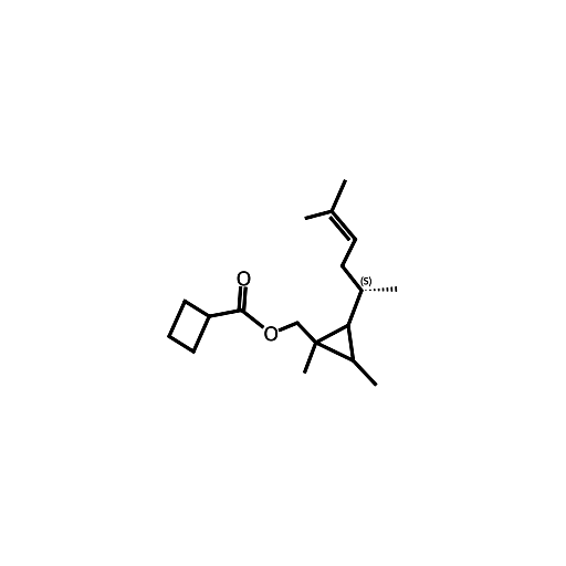 CC(C)=CC[C@H](C)C1C(C)C1(C)COC(=O)C1CCC1